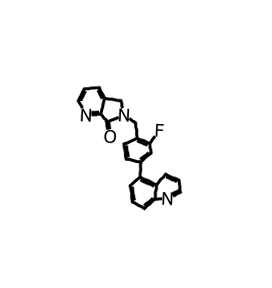 O=C1c2ncccc2CN1Cc1ccc(-c2cccc3ncccc23)cc1F